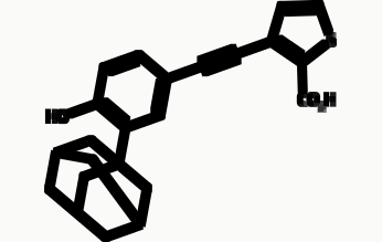 O=C(O)c1sccc1C#Cc1ccc(O)c(C23CC4CC(CC(C4)C2)C3)c1